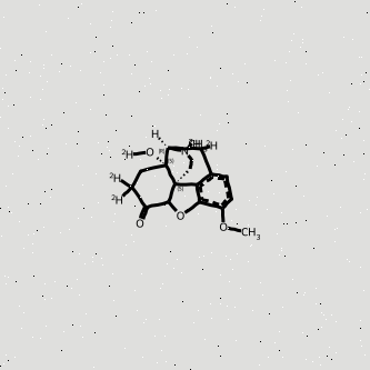 [2H]O[C@@]12CC([2H])([2H])C(=O)C3Oc4c(OC)ccc5c4[C@@]31CCN(C)[C@@H]2C5([2H])[2H]